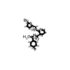 CC(NC(=O)c1cccnc1NCc1ccc(Br)s1)c1ccc(F)cc1